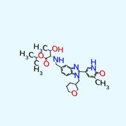 Cc1cc(-c2nc3cc(CN[C@H](C(=O)OC(C)C)C(C)O)ccc3n2CC2CCCOC2)c[nH]c1=O